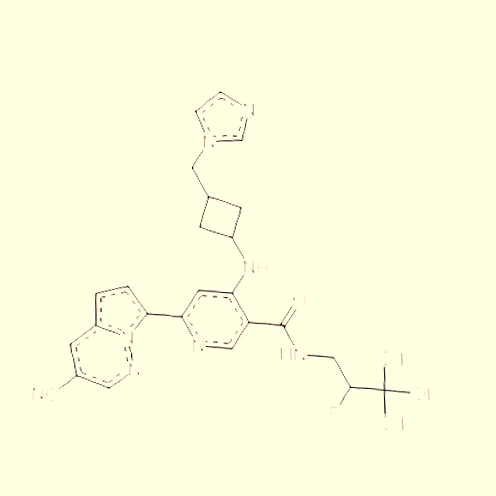 CC(C)(O)C(F)CNC(=O)c1cnc(-c2ccc3cc(C#N)cnn23)cc1NC1CC(Cn2ccnc2)C1